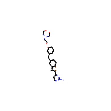 Cc1c(-c2ccnc(N)n2)sc2ccc(Cc3cccc(OCCN4CCOCC4)c3)cc12